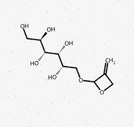 C=C1COC1OC[C@H](O)[C@@H](O)[C@H](O)[C@H](O)CO